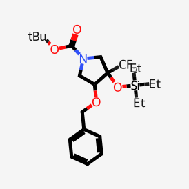 CC[Si](CC)(CC)OC1(C(F)(F)F)CN(C(=O)OC(C)(C)C)CC1OCc1ccccc1